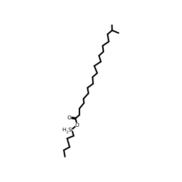 CCCCC[SiH2]OC(=O)CCCCCCCCCCCCCCCCC(C)C